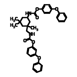 CC1(C)CC(NC(=O)Oc2ccc(Oc3ccccc3)cc2)CC(C)(CNC(=O)Oc2cccc(Oc3ccccc3)c2)C1